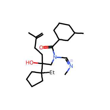 C=C(C)CCC(O)(CN(/C=N\C)C(=O)C1CCCC(C)C1)C1(CC)CCCC1